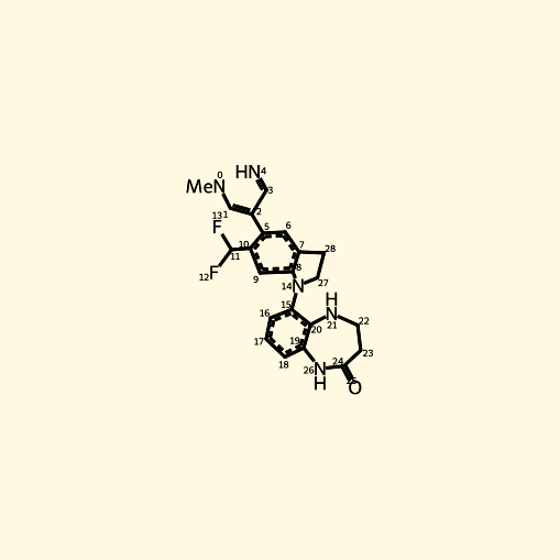 CN/C=C(\C=N)c1cc2c(cc1C(F)F)N(c1cccc3c1NCCC(=O)N3)CC2